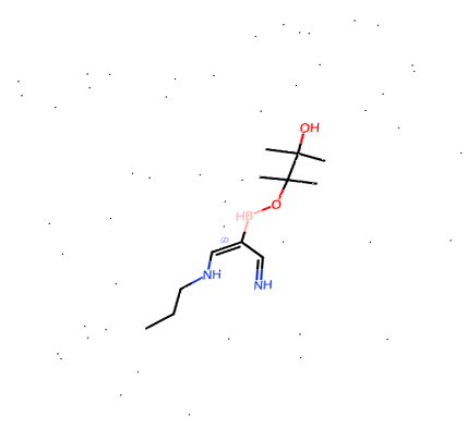 CCCN/C=C(/BOC(C)(C)C(C)(C)O)C=N